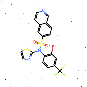 O=S(=O)(c1ccc2cnccc2c1)N(c1nccs1)c1ccc(C(F)(F)F)cc1Br